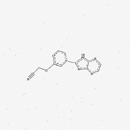 N#CCOc1cccc(-c2nc3nccnc3[nH]2)c1